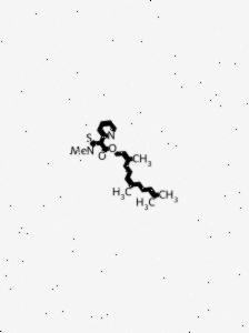 CNC(=S)C(C(=O)OCC=C(C)CCC=C(C)CCC=C(C)C)c1ccccn1